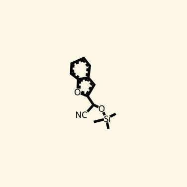 C[Si](C)(C)OC(C#N)c1cc2ccccc2o1